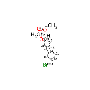 CCOC(=O)C(C)(C)Oc1ccc(Cc2ccc(CBr)cc2)cc1